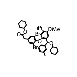 COc1cc(C(OC2CCCCC2)c2cccc(C)c2)c(Oc2c(Br)cc(CC(=O)OC3CCCCC3)cc2Br)cc1C(C)C